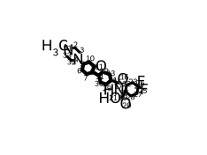 CN1CCN(c2ccc3c(c2)oc2cc(C(=O)NC4(C(=O)O)CCC(F)(F)CC4)ccc23)CC1